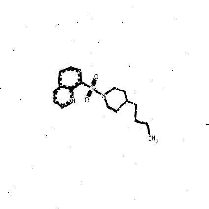 CCCCC1CCN(S(=O)(=O)c2cccc3cccnc23)CC1